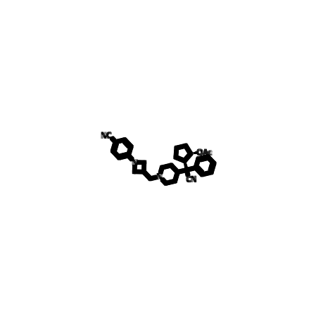 CC(=O)O[C@H]1CCC[C@@H]1C(C#N)(c1ccccc1)C1CCN(CC2CN(c3ccc(C#N)cc3)C2)CC1